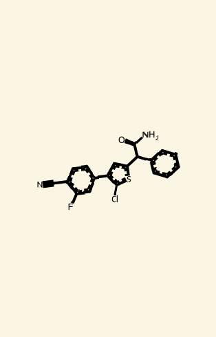 N#Cc1ccc(-c2cc(C(C(N)=O)c3ccccc3)sc2Cl)cc1F